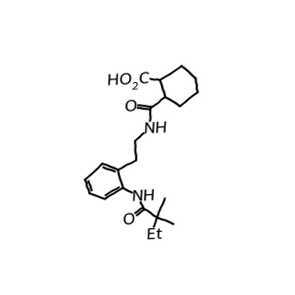 CCC(C)(C)C(=O)Nc1ccccc1CCNC(=O)C1CCCCC1C(=O)O